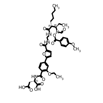 CCCCC[C@@H](C(=O)NCNC(=O)c1ccc(-c2ccc(C(=O)N[C@@H](CC(=O)O)C(=O)O)c(OCC)c2)o1)[C@@H](CC)N(C=O)OC(=O)c1ccc(OC)cc1